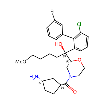 CCc1cccc(-c2c(Cl)cccc2[C@@](O)(CCCCOC)[C@H]2CN(C(=O)[C@@H]3CC[C@H](N)C3)CCO2)c1